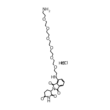 Cl.Cl.NCCOCCOCCOCCOCCOCCOCCNc1cccc2c1C(=O)N(C1CCC(=O)NC1=O)C2=O